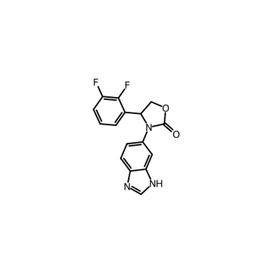 O=C1OCC(c2cccc(F)c2F)N1c1ccc2nc[nH]c2c1